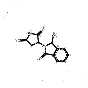 O=C1CC(N2C(=O)c3ccccc3C2O)C(=O)N1